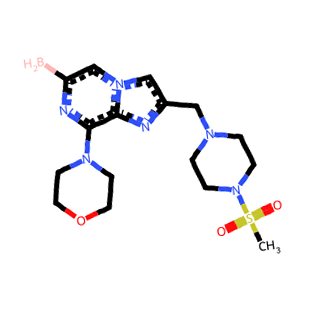 Bc1cn2cc(CN3CCN(S(C)(=O)=O)CC3)nc2c(N2CCOCC2)n1